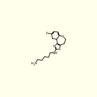 NCCCCCNc1nc2c(s1)CCSC1=CC=C(F)CC12